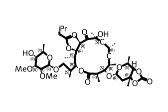 CO[C@@H]1[C@H](O)[C@@H](C)O[C@@H](OC[C@H](C)[C@H]2OC(=O)[C@H](C)[C@@H](O[C@H]3C[C@@]4(C)OC(=O)O[C@H]4[C@H](C)O3)[C@H](C)C[C@@H](C)C[C@](C)(O)C(=O)[C@H](C)[C@H](OC(=O)CC(C)C)[C@H]2C)[C@@H]1OC